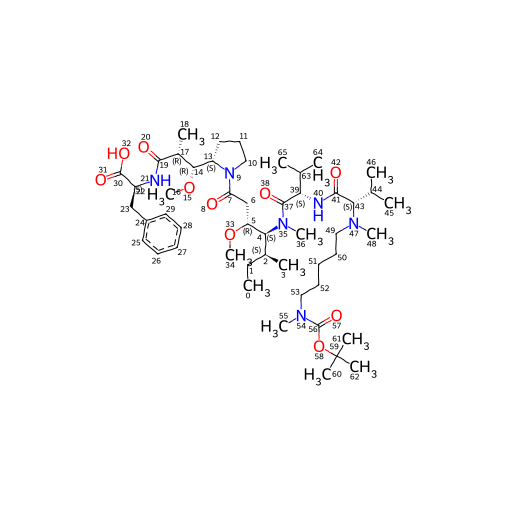 CC[C@H](C)[C@@H]([C@@H](CC(=O)N1CCC[C@H]1[C@H](OC)[C@@H](C)C(=O)N[C@@H](Cc1ccccc1)C(=O)O)OC)N(C)C(=O)[C@@H](NC(=O)[C@H](C(C)C)N(C)CCCCCN(C)C(=O)OC(C)(C)C)C(C)C